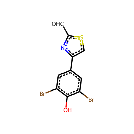 O=Cc1nc(-c2cc(Br)c(O)c(Br)c2)cs1